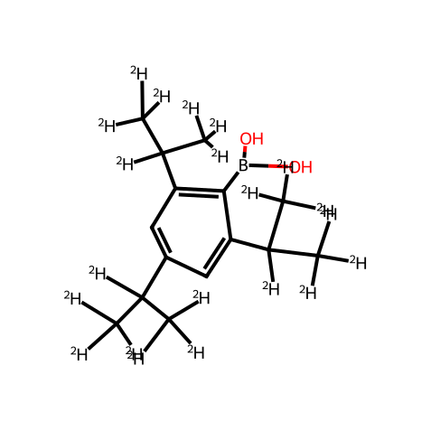 [2H]C([2H])([2H])C([2H])(c1cc(C([2H])(C([2H])([2H])[2H])C([2H])([2H])[2H])c(B(O)O)c(C([2H])(C([2H])([2H])[2H])C([2H])([2H])[2H])c1)C([2H])([2H])[2H]